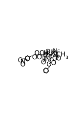 CC(OC(=O)OCc1ccc([N+](=O)[O-])cc1)[C@H]1C(=O)N2C(C(=O)OCc3ccccc3)=C(OS(C)(=O)=O)C(=[N+]=[N-])[S@+]([O-])[C@@H]12